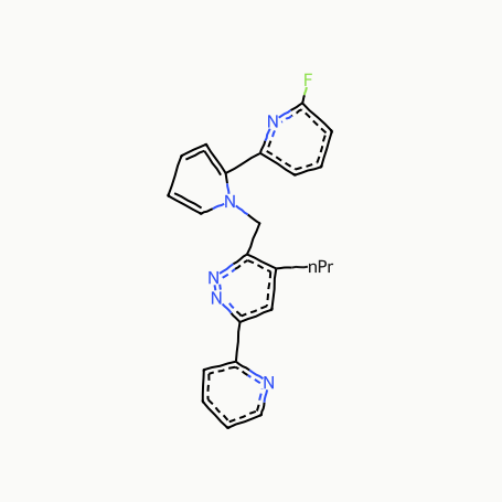 CCCc1cc(-c2ccccn2)nnc1CN1C=CC=C=C1c1cccc(F)n1